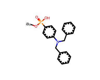 CCC(C)OP(=O)(O)c1ccc(N(Cc2ccccc2)Cc2ccccc2)cc1